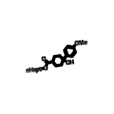 CCCCCCCOC(=O)C1CCC(O)(c2ccc(OC)cc2)CC1